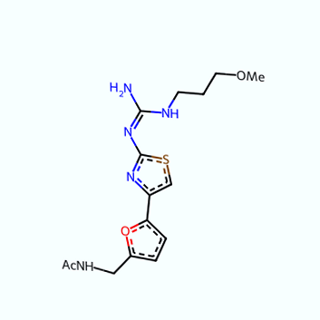 COCCCNC(N)=Nc1nc(-c2ccc(CNC(C)=O)o2)cs1